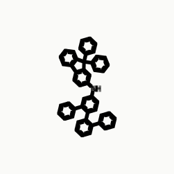 c1ccc(-c2ccccc2-c2ccc(Nc3ccc4c(c3)C(c3ccccc3)(c3ccccc3)c3ccccc3-4)cc2-c2ccccc2)cc1